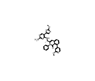 COc1cc(-c2cccc3cc([C@H](C)Nc4nc(N)ncc4-c4cnc(OC)s4)n(-c4ccccc4)c(=O)c23)ccn1